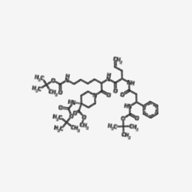 C=CCC(NC(=O)CC(NC(=O)OC(C)(C)C)c1ccccc1)C(=O)NC(CCCCNC(=O)OC(C)(C)C)C(=O)N1CCC(NC(=O)OC(C)(C)C)(C(=O)OC)CC1